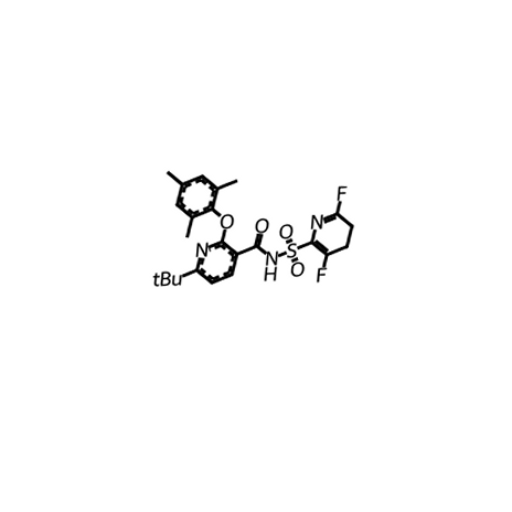 Cc1cc(C)c(Oc2nc(C(C)(C)C)ccc2C(=O)NS(=O)(=O)C2=C(F)CCC(F)=N2)c(C)c1